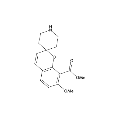 COC(=O)c1c(OC)ccc2c1OC1(C=C2)CCNCC1